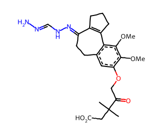 COc1c(OCC(=O)C(C)(C)CC(=O)O)cc2c(c1OC)C1=C(CCC1)C(=NNC=NN)CC2